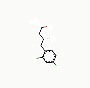 N[C@H](Cc1ccc(Br)cc1Cl)C[C@@H](O)C(=O)O